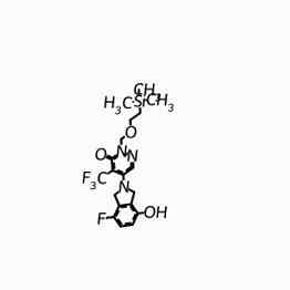 C[Si](C)(C)CCOCn1ncc(N2Cc3c(O)ccc(F)c3C2)c(C(F)(F)F)c1=O